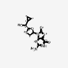 Nc1nc2c(sc(=O)n2C2CS[C@@H](C(O)C3CC3)O2)c(=O)[nH]1